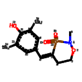 CN1OCCC(=Cc2cc(C(C)(C)C)c(O)c(C(C)(C)C)c2)S1(=O)=O